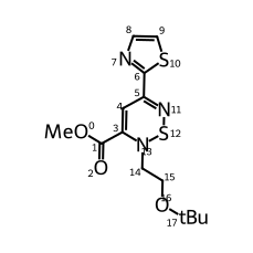 COC(=O)C1=CC(c2nccs2)=NSN1CCOC(C)(C)C